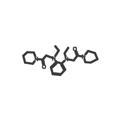 CCN(CC(=O)N1CCCCC1)c1ccccc1N(CC)CC(=O)N1CCCCC1